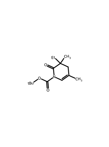 CCC1(C)CC(C)=CN(C(=O)OC(C)(C)C)C1=O